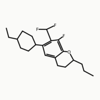 CCCC1CCc2cc(C3CCC(CC)CC3)c(C(F)F)c(F)c2O1